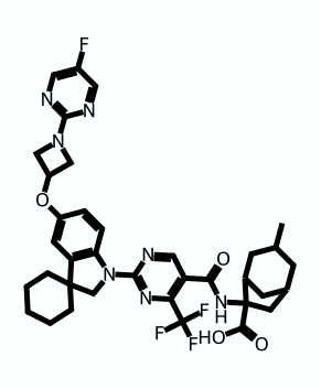 CC1CC2CC(C1)C(NC(=O)c1cnc(N3CC4(CCCCC4)c4cc(OC5CN(c6ncc(F)cn6)C5)ccc43)nc1C(F)(F)F)(C(=O)O)C2